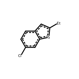 [CH2]Cc1cc2ccc(Cl)cc2s1